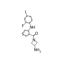 NC1CN(C(=O)c2cscc2Nc2ccc(I)cc2F)C1